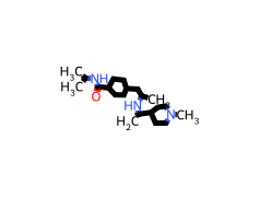 C=C(NC(C)CC1CCC(C(=O)NC(C)C)CC1)C1CCN(C)CC1